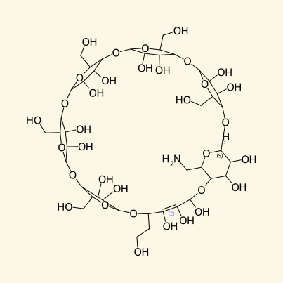 NCC1O[C@H]2OC3C(CO)OC(OC4C(CO)OC(OC5C(CO)OC(OC6C(CO)OC(OC7C(CO)OC(OC(CCO)/C(O)=C(/O)C(O)OC1C(O)C2O)C(O)C7O)C(O)C6O)C(O)C5O)C(O)C4O)C(O)C3O